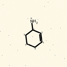 NC1C=C[CH]CC1